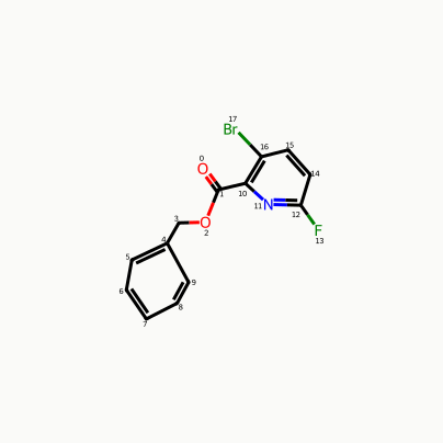 O=C(OCc1ccccc1)c1nc(F)ccc1Br